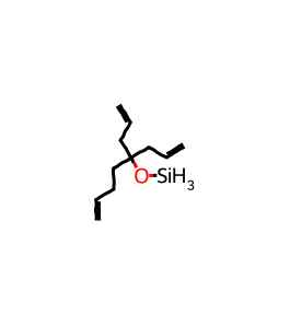 C=CCCC(CC=C)(CC=C)O[SiH3]